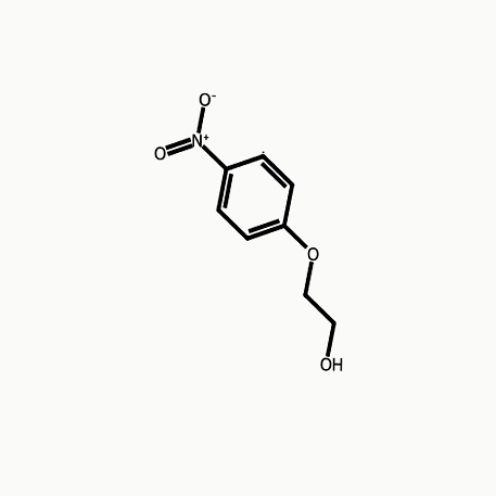 O=[N+]([O-])c1[c]cc(OCCO)cc1